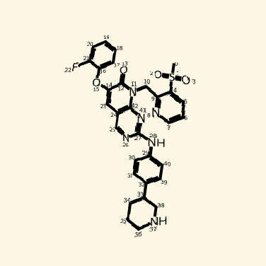 CS(=O)(=O)c1cccnc1Cn1c(=O)c(Oc2ccccc2F)cc2cnc(Nc3ccc(C4CCCNC4)cc3)nc21